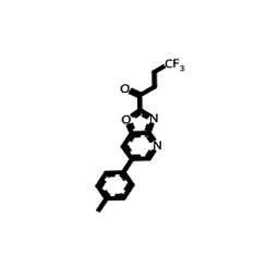 Cc1ccc(-c2cnc3nc(C(=O)CCC(F)(F)F)oc3c2)cc1